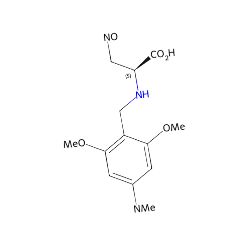 CNc1cc(OC)c(CN[C@@H](CN=O)C(=O)O)c(OC)c1